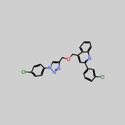 Clc1ccc(-n2cc(COCc3cc(-c4cccc(Cl)c4)nc4ccccc34)nn2)cc1